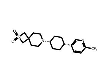 O=S1(=O)CC2(CCN([C@H]3CC[C@@H](c4ccc(C(F)(F)F)nc4)CC3)CC2)C1